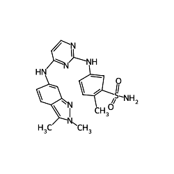 Cc1ccc(Nc2nccc(Nc3ccc4c(C)n(C)nc4c3)n2)cc1S(N)(=O)=O